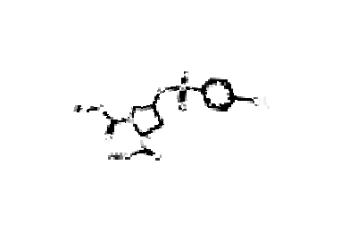 COC(=O)[C@H]1CC(OS(=O)(=O)c2ccc(C)cc2)CN1C(=O)OC(C)(C)C